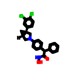 O=C(NO)C(c1ccccc1)c1ccc(N2C[C@@H]3C[C@]3(c3ccc(Cl)c(Cl)c3)C2)cc1